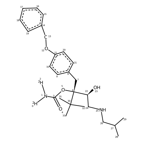 [2H]N([2H])C(=O)O[C@](Cc1ccc(OCc2ccccc2)cc1)([C@@H](O)CNCC(C)C)C(C)(C)C